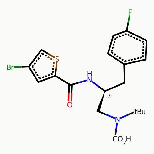 CC(C)(C)N(C[C@H](Cc1ccc(F)cc1)NC(=O)c1cc(Br)cs1)C(=O)O